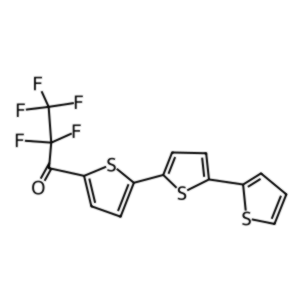 O=C(c1ccc(-c2ccc(-c3cccs3)s2)s1)C(F)(F)C(F)(F)F